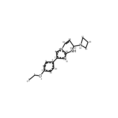 ICOc1ccc(-c2cn3c(n2)NC(N2CCC2)C=C3)cc1